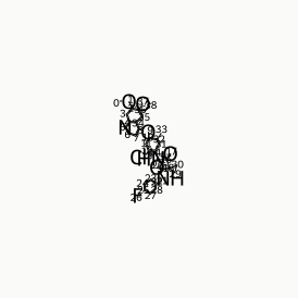 COc1cc2nccc(Oc3cc(Cl)c(NC(=O)C4(C(=O)Nc5ccc(F)cc5)CC4)cc3C)c2cc1OC